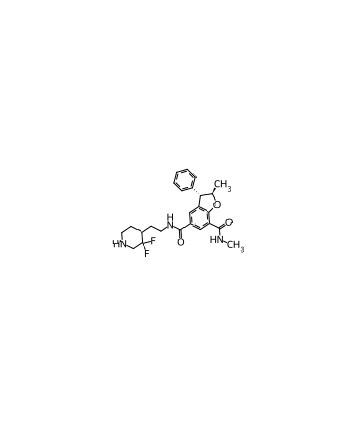 CNC(=O)c1cc(C(=O)NCCC2CCNCC2(F)F)cc2c1O[C@H](C)[C@H]2c1ccccc1